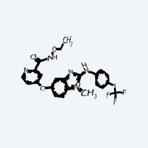 CCONC(=O)c1cc(Oc2ccc3c(c2)nc(Nc2ccc(SC(F)(F)F)cc2)n3C)ccn1